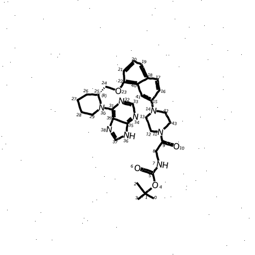 CC(C)(C)OC(=O)NCC(=O)N1CCN(c2ccc3cccc(OC[C@H]4CCCCN4c4ncnc5[nH]cnc45)c3c2)CC1